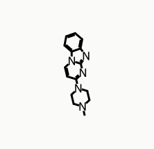 CN1CCN(c2ccn3c(n2)nc2ccccc23)CC1